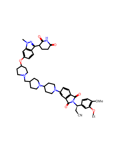 CCOc1cc([C@@H](CC#N)N2C(=O)c3ccc(N4CCC(N5CCC(CN6CCC(Oc7ccc8c(C9CCC(=O)NC9=O)nn(C)c8c7)CC6)CC5)CC4)cc3C2=O)ccc1OC